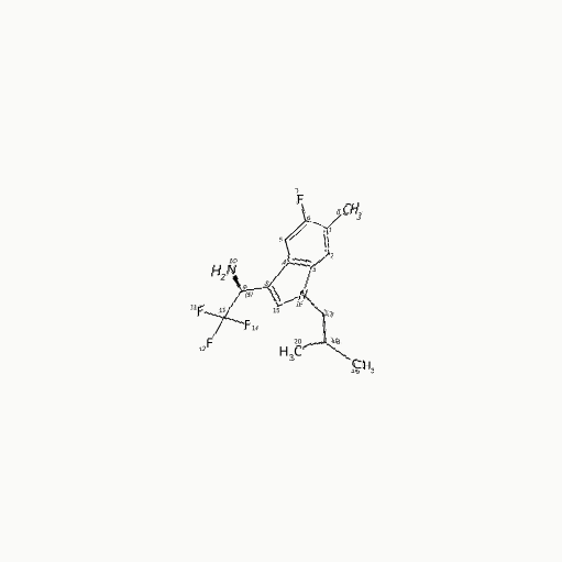 Cc1cc2c(cc1F)c([C@H](N)C(F)(F)F)cn2CC(C)C